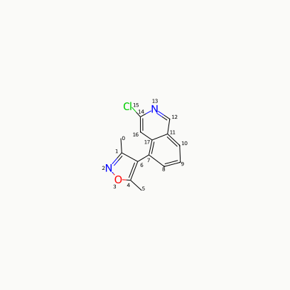 Cc1noc(C)c1-c1cccc2cnc(Cl)cc12